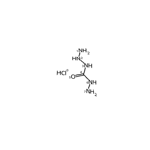 Cl.NNNC(=O)NN